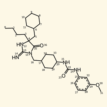 CCCCC1(CC2CCCCC2)NC(=N)N(CC2CCC(NC(=O)Nc3cccc(OC)c3)CC2)C1=O